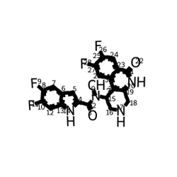 CN(C(=O)c1cc2cc(F)c(F)cc2[nH]1)C1CNCc2[nH]c(=O)c3cc(F)c(F)cc3c21